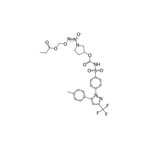 CCC(=O)OCO/N=[N+](/[O-])N1CCC(OC(=O)NS(=O)(=O)c2ccc(-n3nc(C(F)(F)F)cc3-c3ccc(C)cc3)cc2)C1